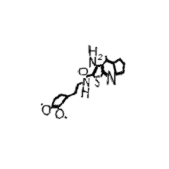 COc1ccc(CCNC(=O)c2sc3nc4c(c(C)c3c2N)CCC4)cc1OC